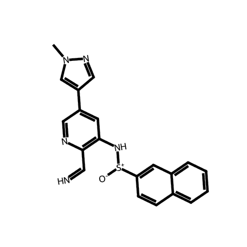 Cn1cc(-c2cnc(C=N)c(N[S+]([O-])c3ccc4ccccc4c3)c2)cn1